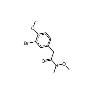 COc1ccc(CC(=O)N(C)OC)cc1Br